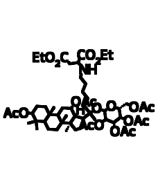 CCOC(=O)CC(NCCCCCC(C)(O[C@H]1O[C@H](COC(C)=O)[C@@H](OC(C)=O)[C@H](OC(C)=O)C1OC(C)=O)C1CC[C@]2(C)[C@@H]1C(OC(C)=O)CC1[C@@]3(C)CC[C@H](OC(C)=O)C(C)(C)C3CC[C@]12C)C(=O)OCC